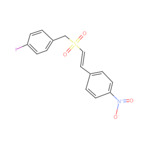 O=[N+]([O-])c1ccc(/C=C/S(=O)(=O)Cc2ccc(I)cc2)cc1